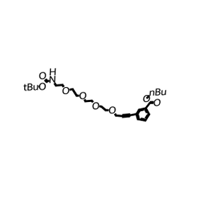 CCCCOC(=O)c1cccc(C#CCOCCOCCOCCOCCNC(=O)OC(C)(C)C)c1